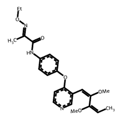 C/C=C(OC)\C(=C/c1cnccc1Oc1ccc(NC(=O)/C(C)=N/OCC)cc1)OC